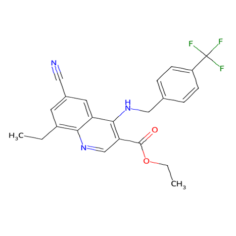 CCOC(=O)c1cnc2c(CC)cc(C#N)cc2c1NCc1ccc(C(F)(F)F)cc1